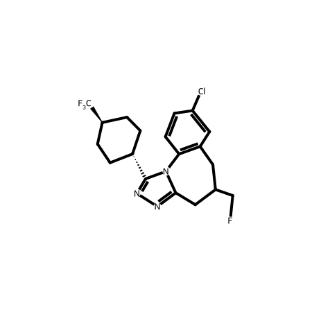 FCC1Cc2cc(Cl)ccc2-n2c(nnc2[C@H]2CC[C@H](C(F)(F)F)CC2)C1